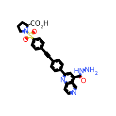 NNC(=O)c1cc(-c2ccc(C#Cc3ccc(S(=O)(=O)N4CCC[C@@H]4C(=O)O)cc3)cc2)nc2ccncc12